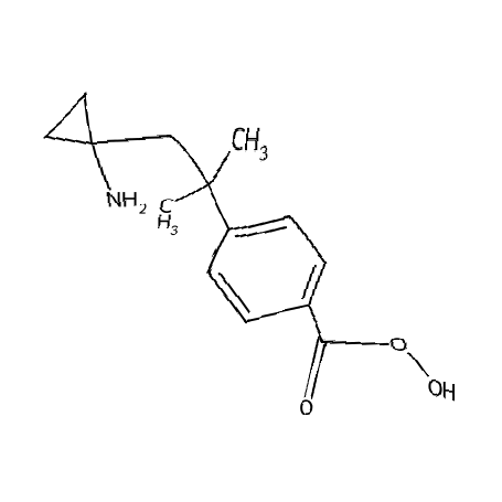 CC(C)(CC1(N)CC1)c1ccc(C(=O)OO)cc1